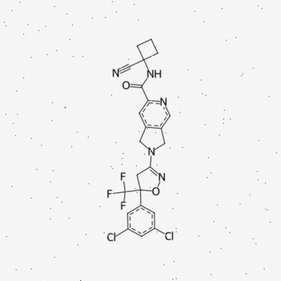 N#CC1(NC(=O)c2cc3c(cn2)CN(C2=NOC(c4cc(Cl)cc(Cl)c4)(C(F)(F)F)C2)C3)CCC1